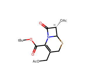 CC(=O)OCC1=C(C(=O)OC(C)(C)C)N2C(=O)[C@H](OC(C)=O)C2SC1